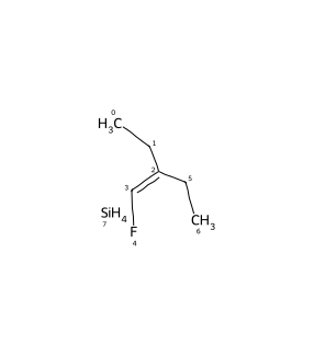 CCC(=CF)CC.[SiH4]